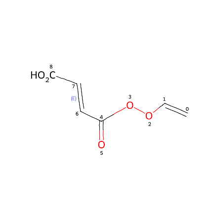 C=COOC(=O)/C=C/C(=O)O